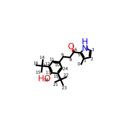 Cc1cc[nH]c1C(=O)CCc1cc(C(C)(C)C)c(O)c(C(C)(C)C)c1